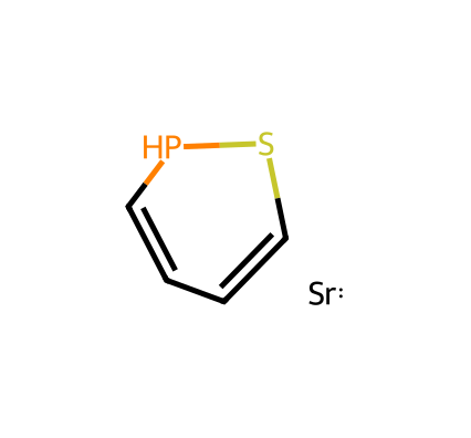 C1=CPSC=C1.[Sr]